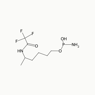 CC(CCCCOP(N)O)NC(=O)C(F)(F)F